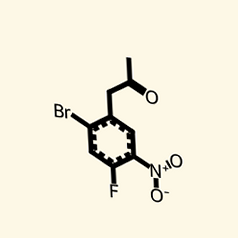 CC(=O)Cc1cc([N+](=O)[O-])c(F)cc1Br